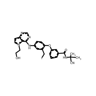 CC(C)(C#N)NC(=O)c1cccc(Oc2ccc(Nc3ncnc4ccn(CCO)c34)cc2CI)c1